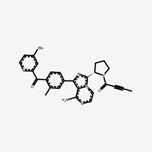 CC#CC(=O)N1CCC[C@H]1c1nc(-c2ccc(C(=O)c3cc(C(C)(C)C)ccn3)c(C)c2)c2c(N)nccn12